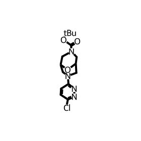 CC(C)(C)OC(=O)N1CC2CN(c3ccc(Cl)nn3)CC(C1)O2